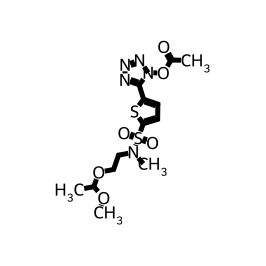 COC(C)OCCN(C)S(=O)(=O)c1ccc(-c2nnnn2OC(C)=O)s1